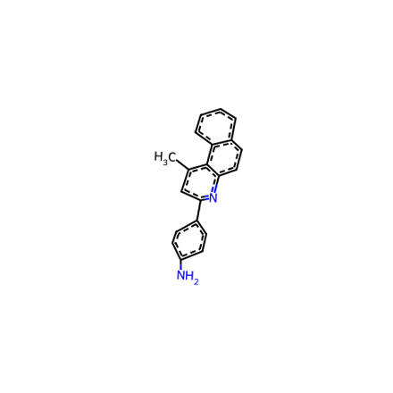 Cc1cc(-c2ccc(N)cc2)nc2ccc3ccccc3c12